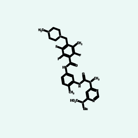 Cc1ccc(NC(=O)c2c(F)c(C)c(CN3CCN(C)CC3)c(F)c2F)cc1NC(=O)N(C)c1cc(N(C(=O)O)C(C)(C)C)ncn1